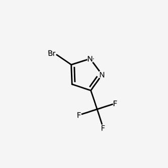 FC(F)(F)C1=N[N]C(Br)=C1